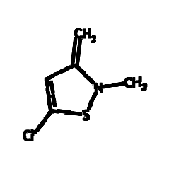 C=C1C=C(Cl)SN1C